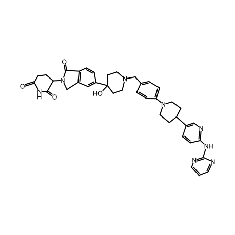 O=C1CCC(N2Cc3cc(C4(O)CCN(Cc5ccc(N6CCC(c7ccc(Nc8ncccn8)nc7)CC6)cc5)CC4)ccc3C2=O)C(=O)N1